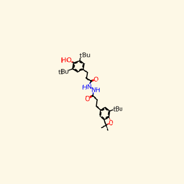 CC(C)(C)c1cc(CCC(=O)NNC(=O)CCc2cc(C(C)(C)C)c3c(c2)C(C)(C)O3)cc(C(C)(C)C)c1O